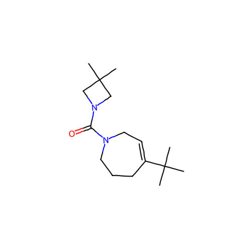 CC1(C)CN(C(=O)N2CC=C(C(C)(C)C)CCC2)C1